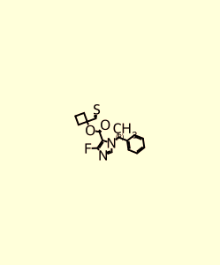 C[C@H](c1ccccc1)n1cnc(F)c1C(=O)OC1(C=S)CCC1